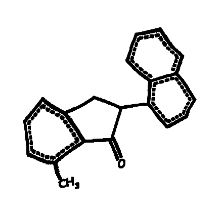 Cc1cccc2c1C(=O)C(c1cccc3ccccc13)C2